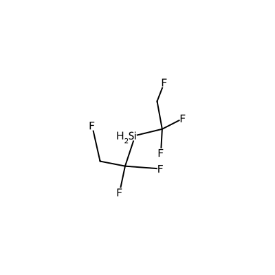 FCC(F)(F)[SiH2]C(F)(F)CF